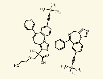 C[Si](C)(C)C#Cc1ccc2c(c1)C(c1ccccc1)=NCc1c(C(O)(COCCO)C(=O)O)ncn1-2.C[Si](C)(C)C#Cc1ccc2c(c1)C(c1ccccc1)=NCc1cncn1-2